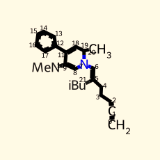 C=C=CCC/C(=C/N1C=C(NC)C(c2ccccc2)=CC1C)C(C)CC